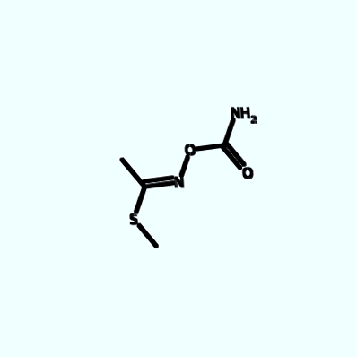 CSC(C)=NOC(N)=O